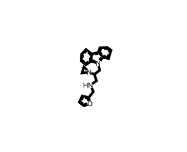 c1coc(CNCC(Cn2c3ccccc3c3ccccc32)N2CC2)c1